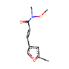 CON(C)C(=O)C=Cc1coc(C)c1